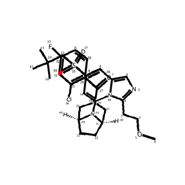 COCCc1ncc2cc(S(=O)(=O)CC(C)(C)C)cc(N3[C@@H]4CC[C@H]3CN(C(=O)c3ccc(F)cc3Cl)C4)n12